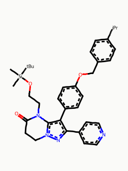 CC(C)c1ccc(COc2ccc(-c3c(-c4ccncc4)nn4c3N(CCO[Si](C)(C)C(C)(C)C)C(=O)CC4)cc2)cc1